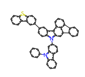 c1ccc(-n2c3ccccc3c3ccc(-n4c5ccc(-c6ccc7sc8ccccc8c7c6)cc5c5c6cccc7c6c(cc54)-c4ccccc4-7)cc32)cc1